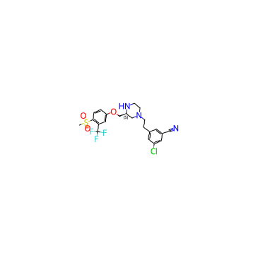 CS(=O)(=O)c1ccc(OC[C@@H]2CN(CCc3cc(Cl)cc(C#N)c3)CCN2)cc1C(F)(F)F